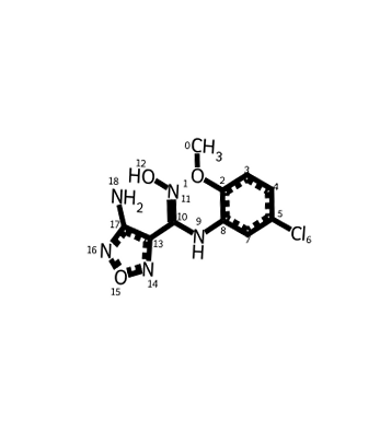 COc1ccc(Cl)cc1N/C(=N/O)c1nonc1N